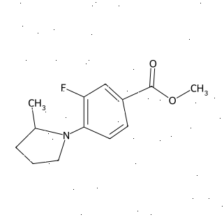 COC(=O)c1ccc(N2CCCC2C)c(F)c1